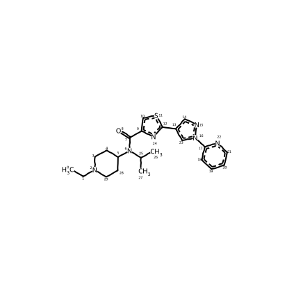 CCN1CCC(N(C(=O)c2csc(-c3cnn(-c4ccccn4)c3)n2)C(C)C)CC1